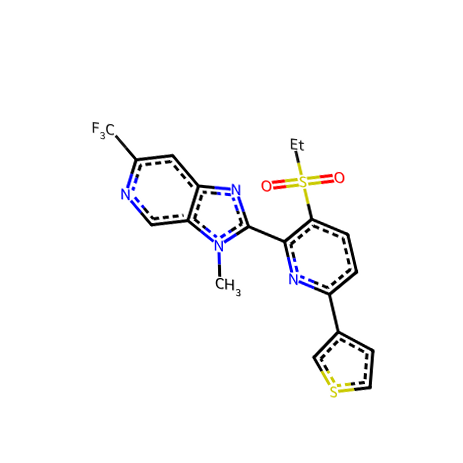 CCS(=O)(=O)c1ccc(-c2ccsc2)nc1-c1nc2cc(C(F)(F)F)ncc2n1C